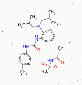 Cc1ccc(NC(=O)Nc2cc([C@@H]3C[C@@H]3C(=O)NS(C)(=O)=O)ccc2N(CC(C)C)CC(C)C)cc1